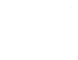 C=CCCCCCCOC1CCC2CC(Br)CCC2C1